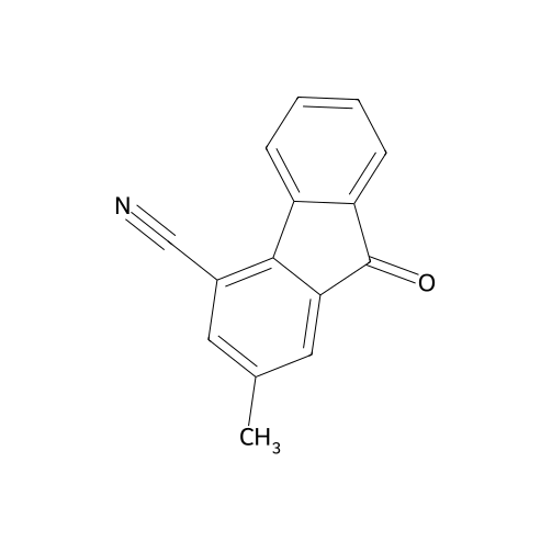 Cc1cc(C#N)c2c(c1)C(=O)c1ccccc1-2